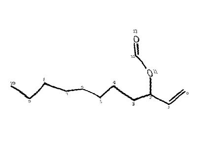 C=CC(CCCCCCCC)OC=O